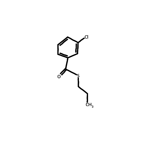 CCCSC(=O)c1cccc(Cl)c1